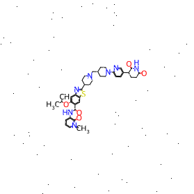 CC(C)Oc1cc2nc(C3CCN(CC4CCN(c5ccc(C6CCC(=O)NC6=O)cn5)CC4)CC3)sc2cc1C(=O)Nc1cccn(C)c1=O